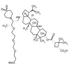 C=C(C)[C@@H]1CC[C@]2(NC[C@H]([C@@H](C)OCCOCCOCCOC)N3CCS(=O)(=O)CC3)CC[C@]3(C)[C@H](CC[C@@H]4[C@@]5(C)CC[C@H](OC(=O)[C@H]6C[C@@H](C(=O)O)C6(C)C)C(C)(C)[C@@H]5CC[C@]43C)[C@@H]12